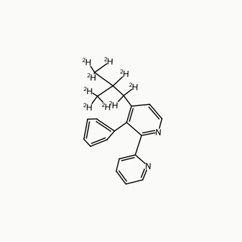 [2H]C([2H])([2H])C([2H])(C([2H])([2H])[2H])C([2H])([2H])c1ccnc(-c2ccccn2)c1-c1ccccc1